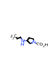 O=C(O)N1CC[C@H](NCCC(F)(F)F)C1